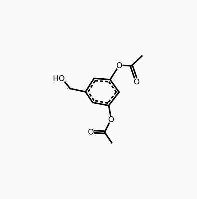 CC(=O)Oc1cc([CH]O)cc(OC(C)=O)c1